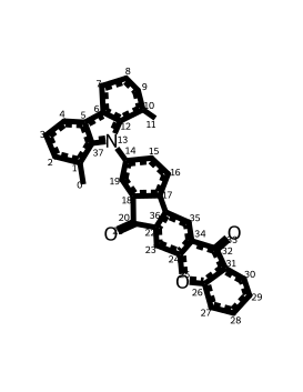 Cc1cccc2c3cccc(C)c3n(-c3ccc4c(c3)C(=O)c3cc5oc6ccccc6c(=O)c5cc3-4)c12